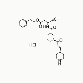 C#CC(CC(=O)OCCc1ccccc1)NC(=O)[C@@H]1CCCN(C(=O)/C=C/C2CCNCC2)C1.Cl